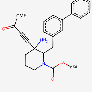 CCCCOC(=O)N1CCCC(N)(C#CC(=O)OC)C1Cc1cccc(-c2ccccc2)c1